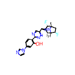 [2H][C@]12C/C(=C\c3cnc(-c4ccc(-n5ccnc5)cc4O)nn3)[C@H](F)[C@](C)(C[C@H]1F)N2